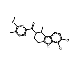 COc1nc(C(=O)N2CCc3[nH]c4c(Cl)c(Cl)ccc4c3C2C)ncc1C